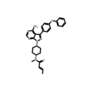 C/C=C/C(=O)N(C)[C@H]1CC[C@@H](n2nc(-c3ccc(Oc4ccccc4)cc3)c3c(N)ncnc32)CC1